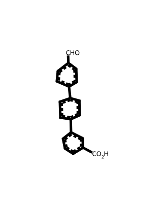 O=Cc1ccc(-c2ccc(-c3cccc(C(=O)O)c3)cc2)cc1